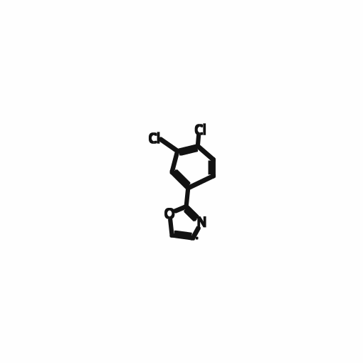 Clc1ccc(-c2n[c]co2)cc1Cl